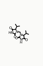 CC(C)C1C(=O)NC(=O)N1CN1C(=O)NC(=O)C1C(C)C